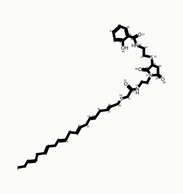 CCC=CCC=CCC=CCC=CCC=CCC=CCSCC(=O)NCCN1C(=O)CC(SCCNC(=O)c2ccccc2O)C1=O